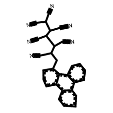 N#CC(C#N)C(C#N)C(C#N)C(C#N)C(C#N)Cc1cccc2c3ccccc3c3ccccc3c12